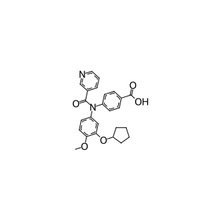 COc1ccc(N(C(=O)c2cccnc2)c2ccc(C(=O)O)cc2)cc1OC1CCCC1